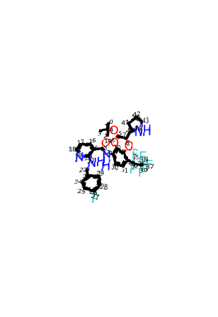 CC(C)(C)OC(=O)C(Oc1cc(NC(=O)c2cccnc2NCc2ccc(F)cc2)ccc1C(F)(F)C(F)(F)F)C1CCCN1